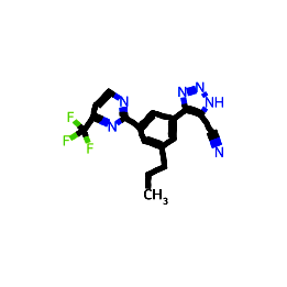 CCCc1cc(-c2nccc(C(F)(F)F)n2)cc(-c2nn[nH]c2C#N)c1